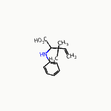 C=CC(C)(C)C(Nc1ccccc1)C(=O)O